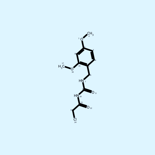 COc1ccc(CNC(=O)NC(=O)CCl)c(OC)c1